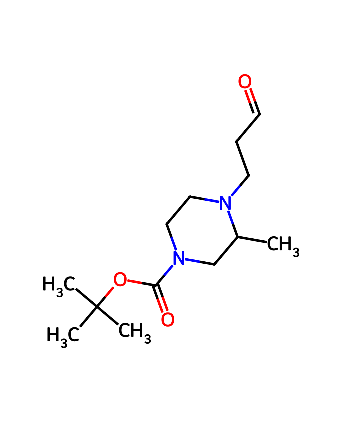 CC1CN(C(=O)OC(C)(C)C)CCN1CCC=O